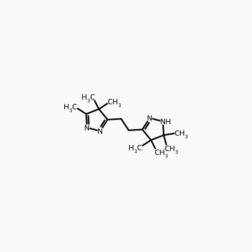 CC1=NN=C(CCC2=NNC(C)(C)C2(C)C)C1(C)C